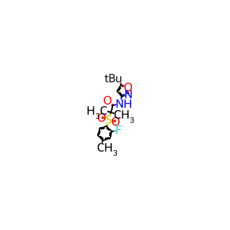 Cc1ccc(S(=O)(=O)C(C)(C)C(=O)Nc2cc(C(C)(C)C)on2)c(F)c1